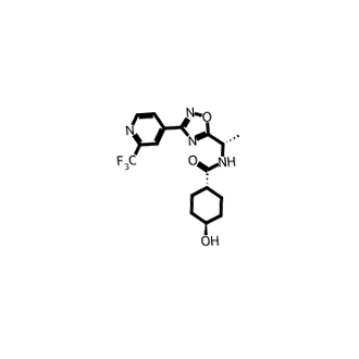 C[C@H](NC(=O)[C@H]1CC[C@H](O)CC1)c1nc(-c2ccnc(C(F)(F)F)c2)no1